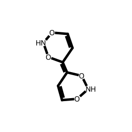 C1=CC(=C2C=CONO2)ONO1